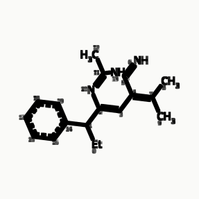 CCC(C(=C/C(C=N)=C(C)C)/N=C(/C)N)c1ccccc1